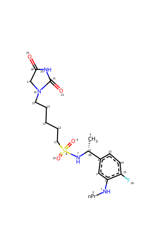 CCCNc1cc([C@@H](C)NS(=O)(=O)CCCCCN2CC(=O)NC2=O)ccc1F